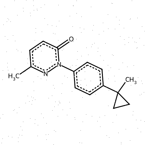 Cc1ccc(=O)n(-c2ccc(C3(C)CC3)cc2)n1